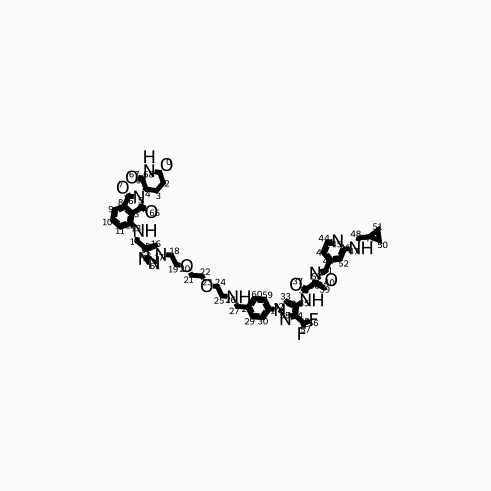 O=C1CCC(N2C(=O)c3cccc(NCc4cn(CCOCCOCCNCc5ccc(-n6cc(NC(=O)c7coc(-c8ccnc(NCC9CC9)c8)n7)c(C(F)F)n6)cc5)nn4)c3C2=O)C(=O)N1